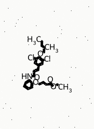 CCCC(C)COc1c(Cl)cc(C=CC(=O)Nc2ccccc2OCCCC(=O)OCC)cc1Cl